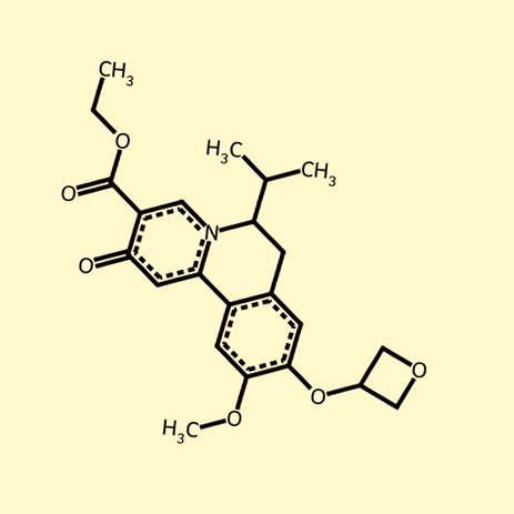 CCOC(=O)c1cn2c(cc1=O)-c1cc(OC)c(OC3COC3)cc1CC2C(C)C